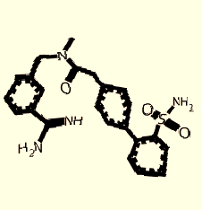 CN(Cc1cccc(C(=N)N)c1)C(=O)Cc1ccc(-c2ccccc2S(N)(=O)=O)cc1